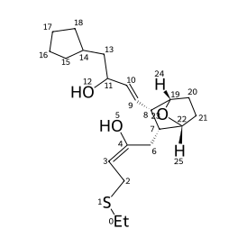 CCSC/C=C(/O)C[C@@H]1[C@H](/C=C/C(O)CC2CCCC2)[C@@H]2CC[C@H]1O2